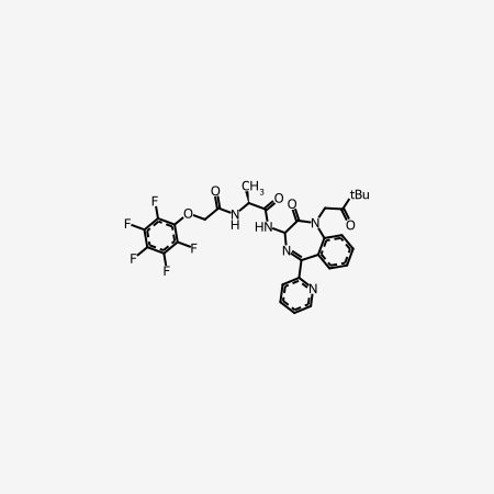 C[C@H](NC(=O)COc1c(F)c(F)c(F)c(F)c1F)C(=O)NC1N=C(c2ccccn2)c2ccccc2N(CC(=O)C(C)(C)C)C1=O